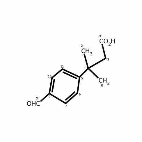 CC(C)(CC(=O)O)c1ccc(C=O)cc1